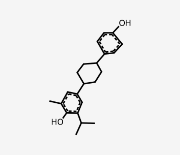 Cc1cc(C2CCC(c3ccc(O)cc3)CC2)cc(C(C)C)c1O